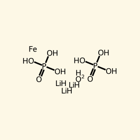 O.O=P(O)(O)O.O=P(O)(O)O.[Fe].[LiH].[LiH].[LiH]